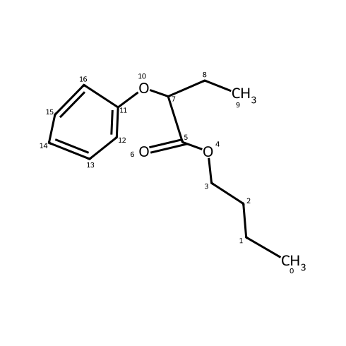 CCCCOC(=O)C(CC)Oc1ccccc1